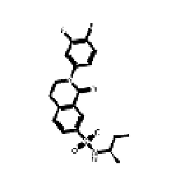 CC[C@@H](C)NS(=O)(=O)c1ccc2c(c1)C(=O)N(c1ccc(F)c(F)c1)CC2